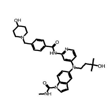 CNC(=O)n1ccc2cc(N(CCC(C)(C)O)c3ccnc(NC(=O)c4ccc(CN5CCC(O)CC5)cc4)c3)ccc21